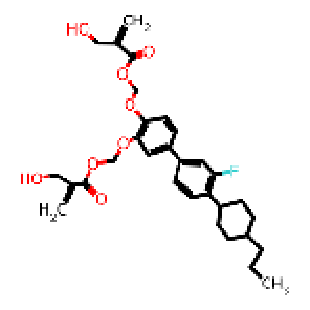 C=C(CO)C(=O)OCOc1ccc(-c2ccc(C3CCC(CCC)CC3)c(F)c2)cc1OCOC(=O)C(=C)CO